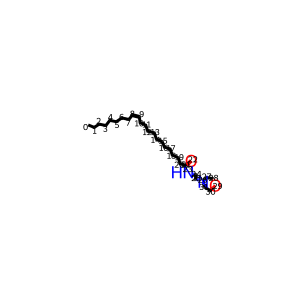 CCCCCCCC/C=C\CCCCCCCCCCCC(=O)NCCN1CCOCC1